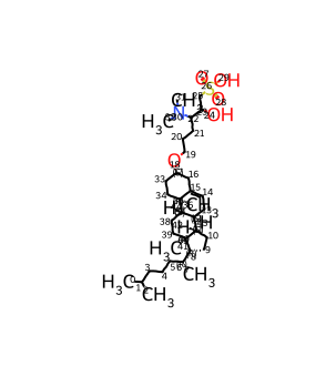 CC(C)CCC[C@@H](C)[C@H]1CC[C@H]2[C@@H]3CC=C4C[C@@H](OCCCC(C(O)CS(=O)(=O)O)N(C)C)CC[C@]4(C)[C@H]3CC[C@]12C